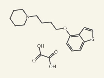 O=C(O)C(=O)O.c1cc(OCCCCN2CCCCC2)c2ccsc2c1